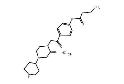 CCCC(=O)Oc1ccc(C(=O)CN2CCN(C3CCNCC3)CC2=O)cc1.Cl.Cl